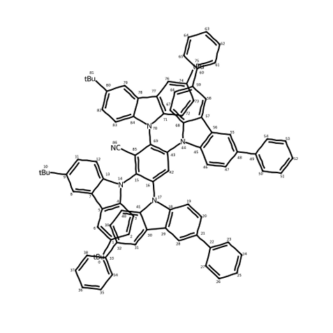 CC(C)(C)c1ccc2c(c1)c1cc(C(C)(C)C)ccc1n2-c1c(-n2c3ccc(-c4ccccc4)cc3c3cc(-c4ccccc4)ccc32)cc(-n2c3ccc(-c4ccccc4)cc3c3cc(-c4ccccc4)ccc32)c(-n2c3ccc(C(C)(C)C)cc3c3cc(C(C)(C)C)ccc32)c1C#N